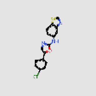 Clc1ccc(-c2cnc(Nc3ccc4scnc4c3)o2)cc1